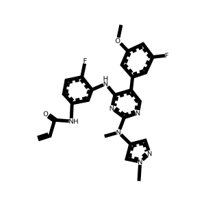 C=CC(=O)Nc1ccc(F)c(Nc2nc(N(C)c3cnn(C)c3)ncc2-c2cc(F)cc(OC)c2)c1